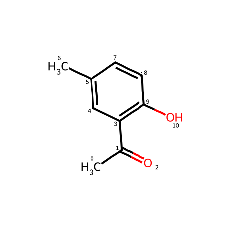 CC(=O)c1cc(C)c[c]c1O